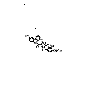 COC(=O)[C@@H](Cc1ccc(OC)cc1)N[C@H]1COc2ccccc2N(Cc2ccc(C(C)C)cc2)C1=O